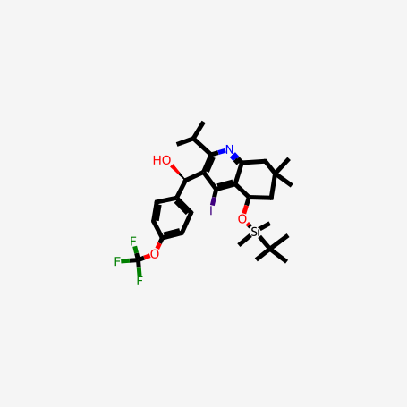 CC(C)c1nc2c(c(I)c1[C@H](O)c1ccc(OC(F)(F)F)cc1)C(O[Si](C)(C)C(C)(C)C)CC(C)(C)C2